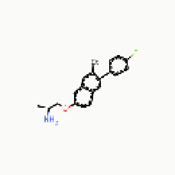 CCc1cc2cc(OC[C@H](C)N)ccc2cc1-c1ccc(F)cc1